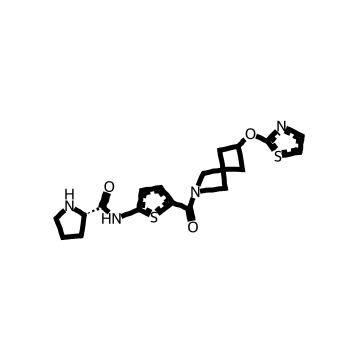 O=C(Nc1ccc(C(=O)N2CC3(CC(Oc4nccs4)C3)C2)s1)[C@@H]1CCCN1